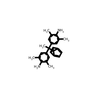 Cc1cc(C(C)(c2cc(C)c(N)c(C)c2)C2C3=CC=C2C=C3)cc(C)c1N